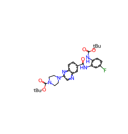 CC(C)(C)OC(=O)Nc1ccc(F)cc1NC(=O)c1ccc2nc(N3CCN(C(=O)OC(C)(C)C)CC3)cnc2c1